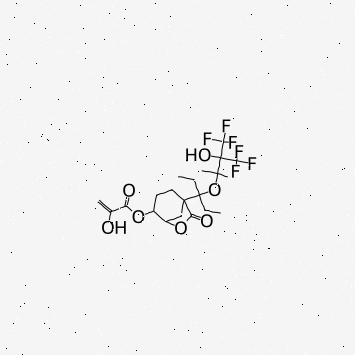 C=C(O)C(=O)OC1CCC2(C(CC)(CC)OC(C)(C)C(O)(C(F)(F)F)C(F)(F)F)CC1OC2=O